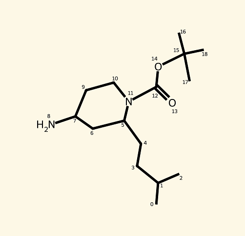 CC(C)CCC1CC(N)CCN1C(=O)OC(C)(C)C